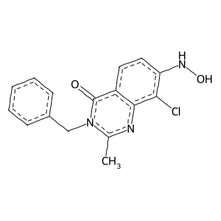 Cc1nc2c(Cl)c(NO)ccc2c(=O)n1Cc1ccccc1